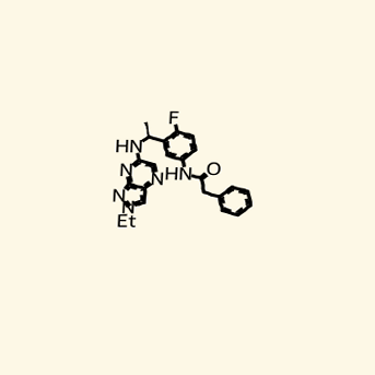 CCn1cc2ncc(N[C@@H](C)c3cc(NC(=O)Cc4ccccc4)ccc3F)nc2n1